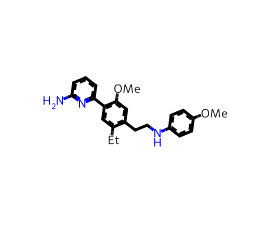 CCc1cc(-c2cccc(N)n2)c(OC)cc1CCNc1ccc(OC)cc1